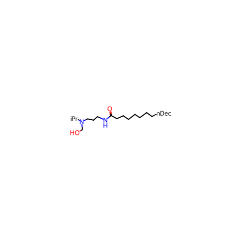 CCCCCCCCCCCCCCCCCC(=O)NCCCN(CO)C(C)C